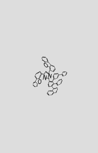 c1ccc(-c2cccc(-c3c(-c4nc(-c5cccc6c5oc5ccccc56)cc(-c5cccc6c5oc5ccccc56)n4)ccc(-c4cccc5ccccc45)c3-c3ccccc3)c2)cc1